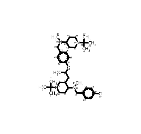 CC(CC1CN(C(C)(C)C)CCC1N(C)Cc1ccc(Cl)cc1)Oc1ccc(CN(C)C2CCN(C(C)(C)C)CC2)cc1